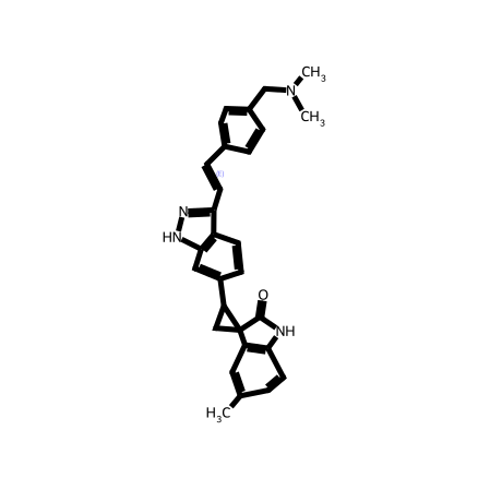 Cc1ccc2c(c1)C1(CC1c1ccc3c(/C=C/c4ccc(CN(C)C)cc4)n[nH]c3c1)C(=O)N2